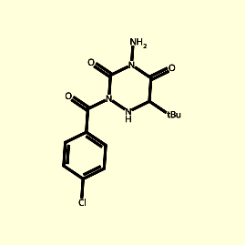 CC(C)(C)C1NN(C(=O)c2ccc(Cl)cc2)C(=O)N(N)C1=O